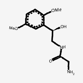 COc1ccc(OC)c([C@@H](O)CNC(=O)CN)c1